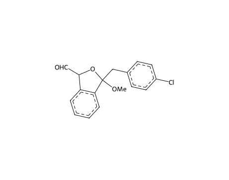 COC1(Cc2ccc(Cl)cc2)OC(C=O)c2ccccc21